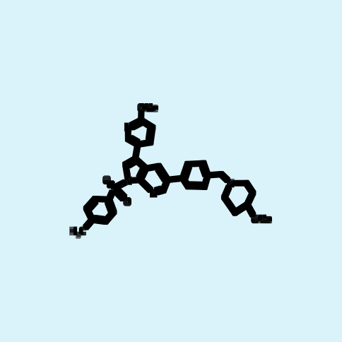 COc1ccc(-c2cn(S(=O)(=O)c3ccc(C)cc3)c3ncc(-c4ccc(CN5CCC(OC)CC5)cc4)cc23)cn1